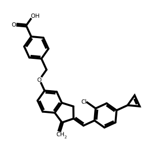 C=C1/C(=C/c2ccc(C3C=C3)cc2Cl)Cc2cc(OCc3ccc(C(=O)O)cc3)ccc21